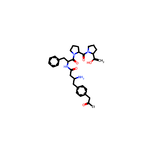 C=C(O)C1CCCN1C(=O)C1CCCN1C(=O)C(Cc1ccccc1)NC(=O)CC(N)Cc1ccc(CC(=O)CC)cc1